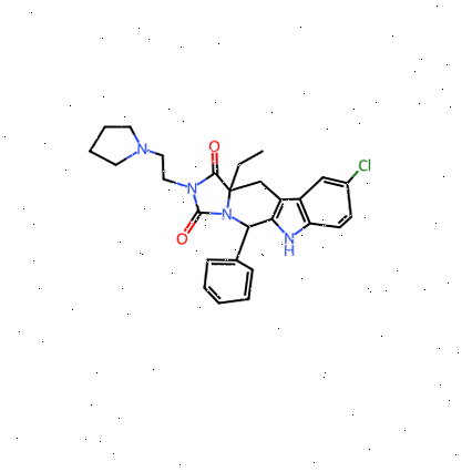 CCC12Cc3c([nH]c4ccc(Cl)cc34)C(c3ccccc3)N1C(=O)N(CCN1CCCC1)C2=O